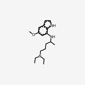 CCN(CC)CCCC(C)Nc1cc(OC)cc2cc[nH]c12